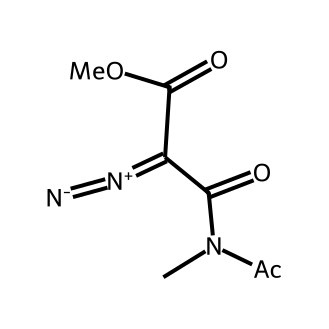 COC(=O)C(=[N+]=[N-])C(=O)N(C)C(C)=O